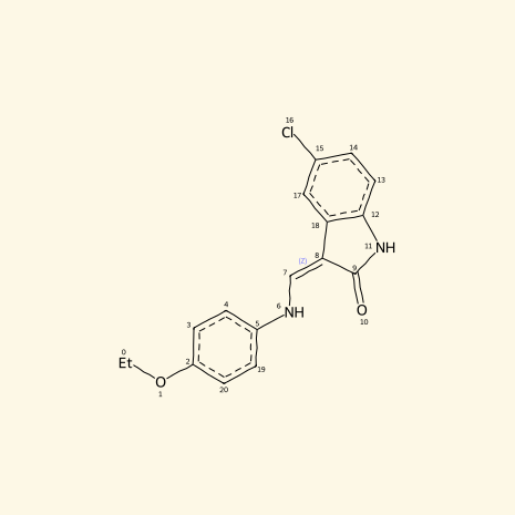 CCOc1ccc(N/C=C2\C(=O)Nc3ccc(Cl)cc32)cc1